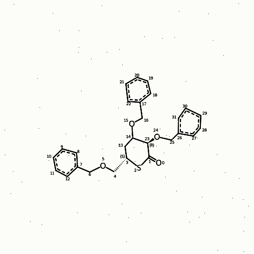 O=C1S[C@H](COCc2ccccc2)CC(OCc2ccccc2)[C@H]1OCc1ccccc1